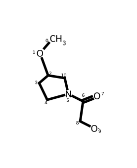 COC1CCN(C(=O)C[O])C1